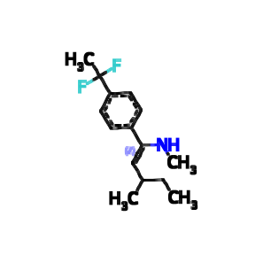 CCC(C)/C=C(\NC)c1ccc(C(C)(F)F)cc1